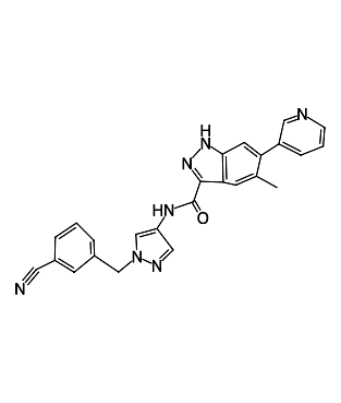 Cc1cc2c(C(=O)Nc3cnn(Cc4cccc(C#N)c4)c3)n[nH]c2cc1-c1cccnc1